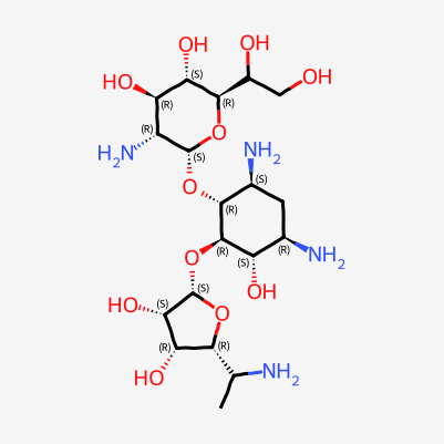 CC(N)[C@H]1O[C@@H](O[C@@H]2[C@@H](O)[C@H](N)C[C@H](N)[C@H]2O[C@H]2O[C@H](C(O)CO)[C@@H](O)[C@H](O)[C@H]2N)[C@@H](O)[C@H]1O